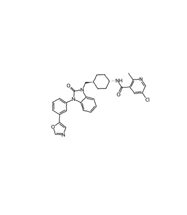 Cc1ncc(Cl)cc1C(=O)N[C@H]1CC[C@H](Cn2c(=O)n(-c3cccc(-c4cnco4)c3)c3ccccc32)CC1